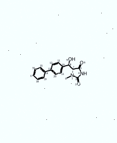 CN1C(=O)NC(=O)[C@H]1[C@H](O)c1ccc(-c2ccccc2)cc1